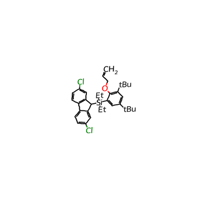 C=CCOc1c(C(C)(C)C)cc(C(C)(C)C)cc1[Si](CC)(CC)C1c2cc(Cl)ccc2-c2ccc(Cl)cc21